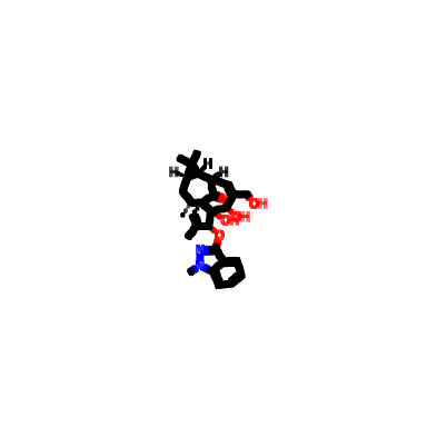 CC1=C[C@]23C(=O)[C@@H](C=C(CO)[C@@H](O)[C@]2(O)[C@H]1Oc1nn(C)c2ccccc12)[C@H]1[C@@H](C[C@H]3C)C1(C)C